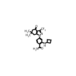 CC1(C)CC(=O)c2c(C(F)(F)F)nn(-c3ccc(C(N)=O)c(NC4CCC4)c3)c2C1